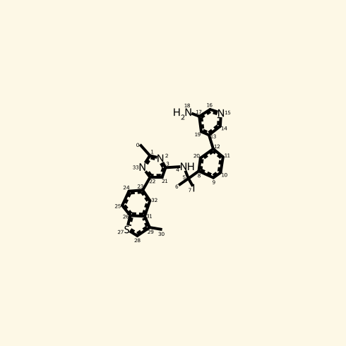 Cc1nc(NC(C)(I)c2cccc(-c3cncc(N)c3)c2)cc(-c2ccc3scc(C)c3c2)n1